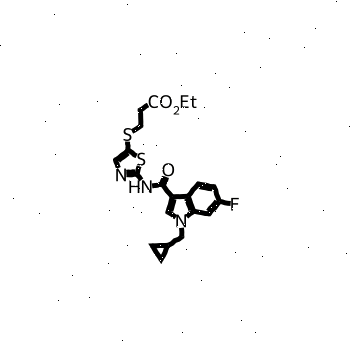 CCOC(=O)CCSc1cnc(NC(=O)c2cn(CC3CC3)c3cc(F)ccc23)s1